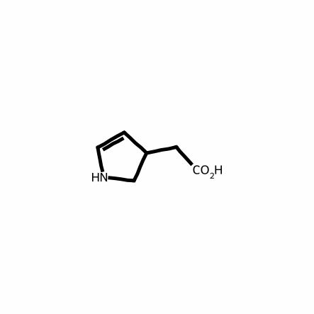 O=C(O)CC1C=CNC1